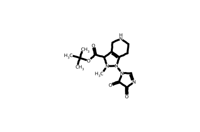 CN1C(C(=O)OC(C)(C)C)C2=C(CCNC2)N1N1C=NC(=O)C1=O